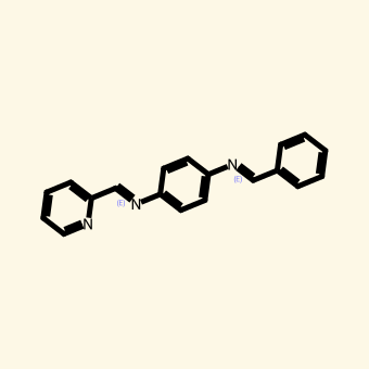 C(=N\c1ccc(/N=C/c2ccccn2)cc1)/c1ccccc1